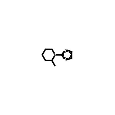 CC1CCCCN1c1n[c]cs1